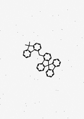 CC1(C)c2ccccc2-c2c(Cc3cccc4c3-c3ccccc3C43c4ccccc4-c4ccccc43)cccc21